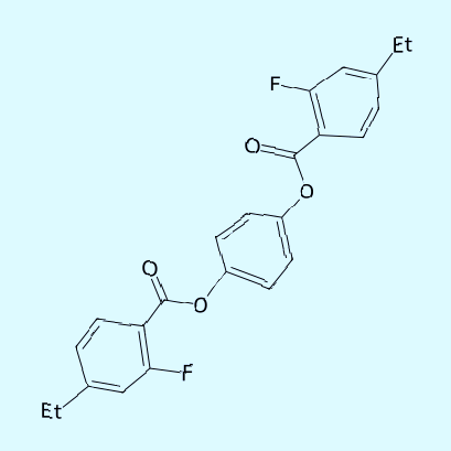 CCc1ccc(C(=O)Oc2ccc(OC(=O)c3ccc(CC)cc3F)cc2)c(F)c1